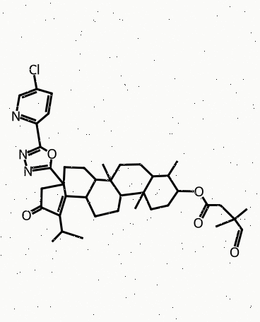 CC(C)C1=C2C3CCC4C(C)(CCC5C(C)C(OC(=O)CC(C)(C)C=O)CCC54C)C3CCC2(c2nnc(-c3ccc(Cl)cn3)o2)CC1=O